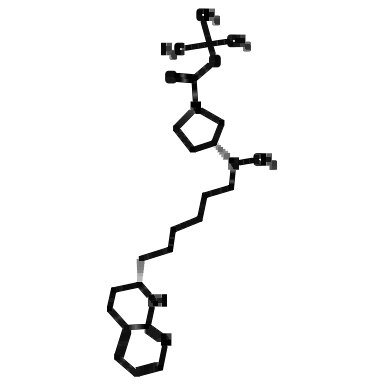 CN(CCCCCC[C@H]1CCc2cccnc2N1)[C@@H]1CCN(C(=O)OC(C)(C)C)C1